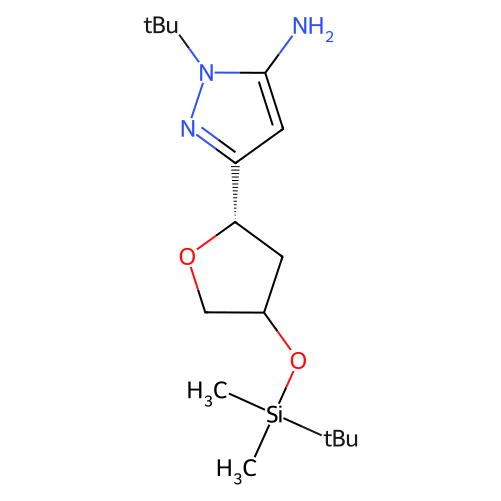 CC(C)(C)n1nc([C@@H]2CC(O[Si](C)(C)C(C)(C)C)CO2)cc1N